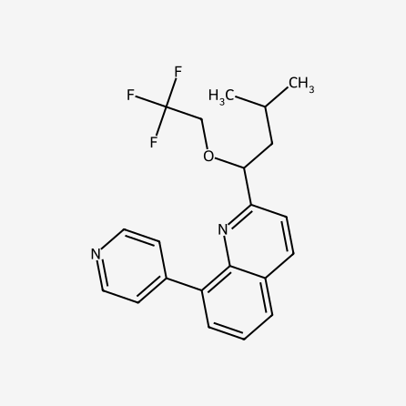 CC(C)CC(OCC(F)(F)F)c1ccc2cccc(-c3ccncc3)c2n1